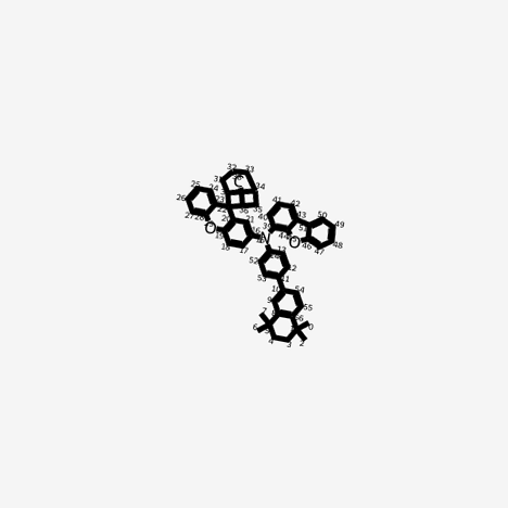 CC1(C)CCC(C)(C)c2cc(-c3ccc(N(c4ccc5c(c4)C4(c6ccccc6O5)C5CC6CC7CC4C75C6)c4cccc5c4oc4ccccc45)cc3)ccc21